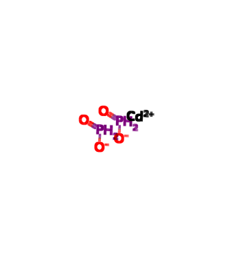 O=[PH2][O-].O=[PH2][O-].[Cd+2]